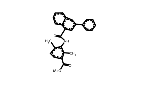 COC(=O)c1ccc(C)c(NC(=O)c2cc(-c3ccccc3)cc3ccccc23)c1C